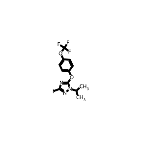 CC(C)n1nc(I)nc1Oc1ccc(OC(F)(F)F)cc1